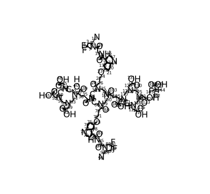 N#C[C@@H]1CC(F)(F)CN1C(=O)CNC(=O)c1ccnc2ccc(OCCCC(=O)N3CCN(C(=O)CCC(C(=O)O)N4CCN(CC(=O)O)CCN(CC(=O)O)CCN(CC(=O)O)CC4)CCN(C(=O)CCCOc4ccc5nccc(C(=O)NCC(=O)N6CC(F)(F)C[C@H]6C#N)c5c4)CCN(C(=O)CCC(C(=O)O)N4CCN(CC(=O)O)CCN(CC(=O)O)CCN(CC(=O)O)CC4)CC3)cc12.O=C(O)C(F)(F)F